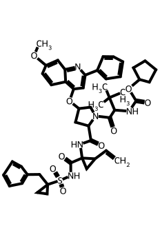 C=CC1CC1(NC(=O)C1CC(Oc2cc(-c3ccccc3)nc3cc(OC)ccc23)CN1C(=O)C(NC(=O)OC1CCCC1)C(C)(C)C)C(=O)NS(=O)(=O)C1(Cc2ccccc2)CC1